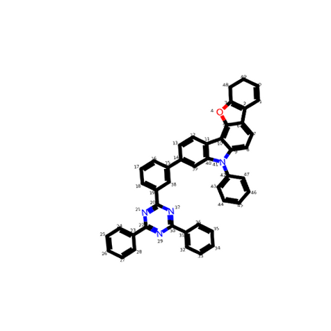 C1=Cc2c(oc3c2ccc2c3c3ccc(-c4cccc(-c5nc(-c6ccccc6)nc(-c6ccccc6)n5)c4)cc3n2-c2ccccc2)CC1